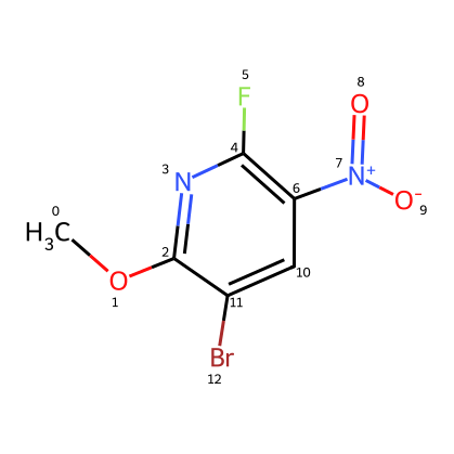 COc1nc(F)c([N+](=O)[O-])cc1Br